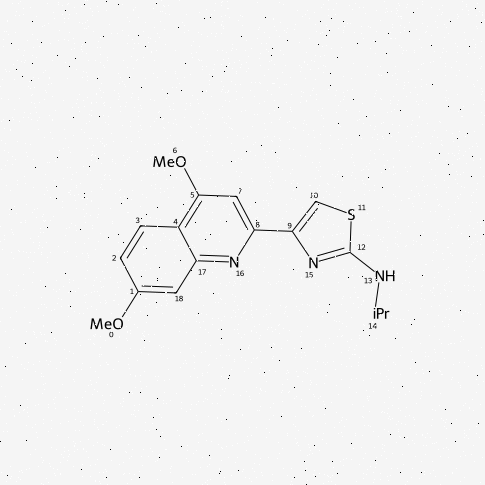 COc1ccc2c(OC)cc(-c3csc(NC(C)C)n3)nc2c1